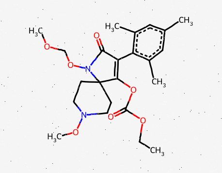 CCOC(=O)OC1=C(c2c(C)cc(C)cc2C)C(=O)N(OCOC)C12CCN(OC)CC2